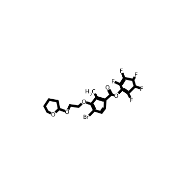 Cc1c(C(=O)OC2=C(F)C(F)C(F)C(F)=C2F)ccc(Br)c1OCCOC1CCCCO1